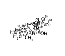 CC(C)[C@@]12CC[C@H]3[C@@H]4C[C@H](O)CN(C(=O)[C@H]5CCCCO5)[C@@]4(C)CC[C@@H]3[C@@]1(C)CC[C@H](O)C2